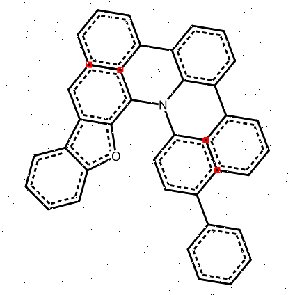 c1ccc(-c2ccc(N(c3c(-c4ccccc4)cccc3-c3ccccc3)c3cccc4c3oc3ccccc34)cc2)cc1